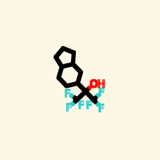 OC(C1CCC2CCCC2C1)(C(F)(F)F)C(F)(F)F